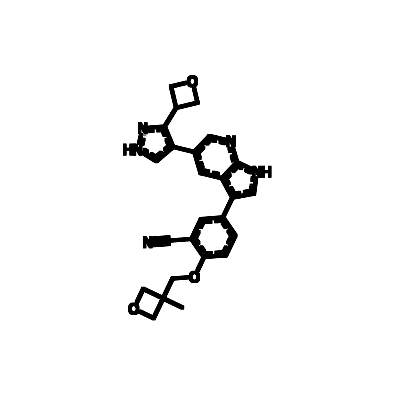 CC1(COc2ccc(-c3c[nH]c4ncc(-c5c[nH]nc5C5COC5)cc34)cc2C#N)COC1